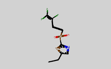 CCc1cnc(S(=O)(=O)CCC(F)=C(F)F)s1